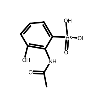 CC(=O)Nc1c(O)cccc1[As](=O)(O)O